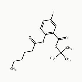 CCCCCC(=O)Oc1ccc(F)cc1C(=O)OC(C)(C)C